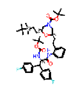 CC(C)(C)OC(=O)N[C@H](C(=O)Nc1ccccc1CC[C@@H]1CN(C(=O)OC(C)(C)C)C[C@@H](CC[Si](C)(C)C(C)(C)C)O1)C(c1ccc(F)cc1)c1ccc(F)cc1